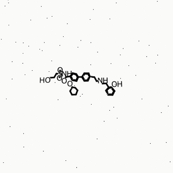 O=C(NS(=O)(=O)CCCO)c1ccc(-c2ccc(CCNCCc3ccccc3O)cc2)cc1OC1CCCCC1